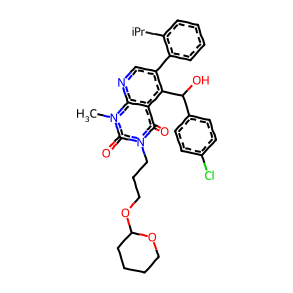 CC(C)c1ccccc1-c1cnc2c(c1C(O)c1ccc(Cl)cc1)c(=O)n(CCCOC1CCCCO1)c(=O)n2C